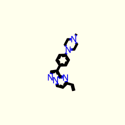 C=Cc1ccn2ncc(-c3ccc(N4CCN(C)CC4)cc3)c2n1